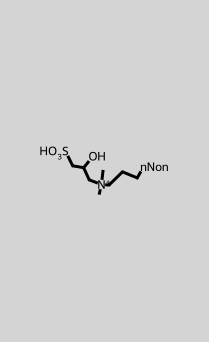 CCCCCCCCCCCC[N+](C)(C)CC(O)CS(=O)(=O)O